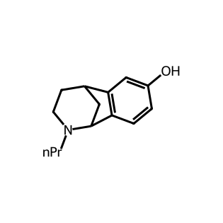 CCCN1CCC2CC1c1ccc(O)cc12